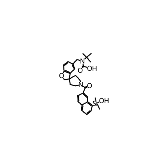 CC(C)(C)N(Cc1ccc2c(c1)C1(CCN(C(=O)c3ccc4cccc([Si](C)(C)O)c4c3)CC1)CO2)C(=O)O